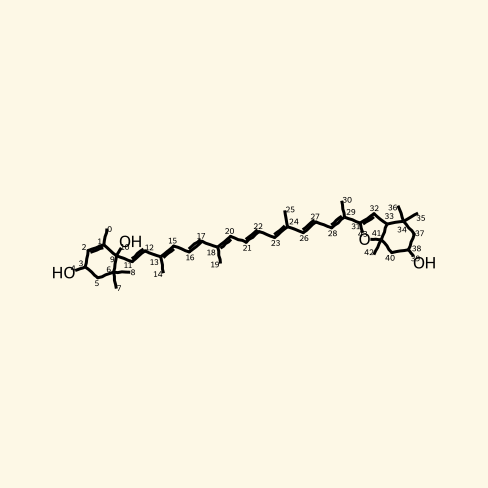 CC1=CC(O)CC(C)(C)C1(O)/C=C/C(C)=C/C=C/C(C)=C/C=C/C=C(C)/C=C/C=C(\C)C1=CC2C(C)(C)CC(O)CC2(C)O1